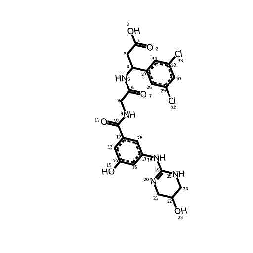 O=C(O)CC(NC(=O)CNC(=O)c1cc(O)cc(NC2=NCC(O)CN2)c1)c1cc(Cl)cc(Cl)c1